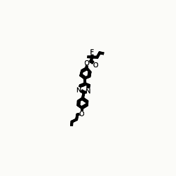 CCCCOc1ccc(-c2ncc(-c3ccc(OC(=O)C(C)(F)CCC)cc3)cn2)cc1